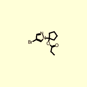 CCC(=O)OC1(n2cc(Br)cn2)CCCC1